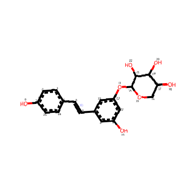 Oc1ccc(/C=C/c2cc(O)cc(OC3OCC(O)C(O)C3O)c2)cc1